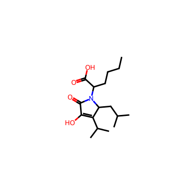 CCCCC(C(=O)O)N1C(=O)C(O)=C(C(C)C)C1CC(C)C